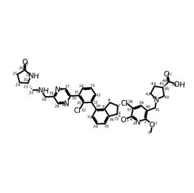 COc1nc(O[C@H]2CCc3c(-c4cccc(-c5cnc(CNC[C@@H]6CCC(=O)N6)cn5)c4Cl)cccc32)c(Cl)cc1CN1CC[C@@H](C(=O)O)C1